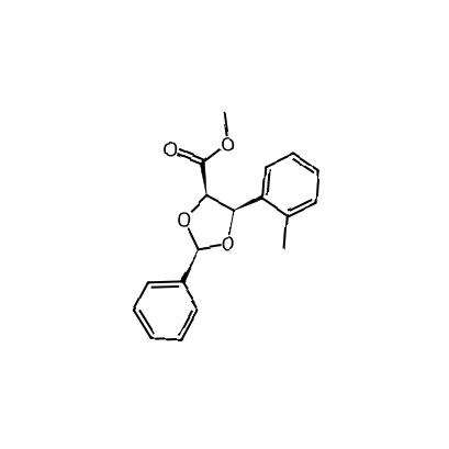 COC(=O)[C@@H]1O[C@H](c2ccccc2)O[C@@H]1c1ccccc1C